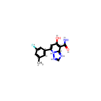 Cc1cc(F)cc(-c2cc(O)c(C([NH])=O)c3ncnn23)c1